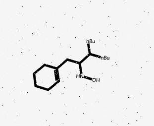 CCCCC(CCCC)C(CC1=CCCCC1)NO